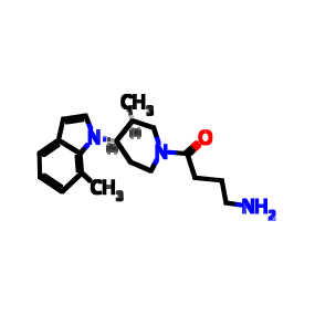 Cc1cccc2ccn([C@H]3CCN(C(=O)CCCN)C[C@H]3C)c12